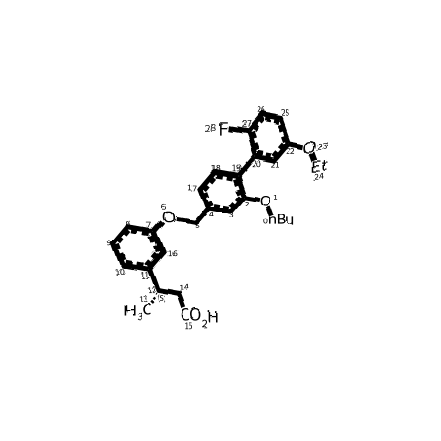 CCCCOc1cc(COc2cccc([C@@H](C)CC(=O)O)c2)ccc1-c1cc(OCC)ccc1F